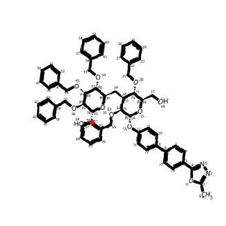 Cc1nnc(-c2ccc(-c3ccc(O[C@H]4O[C@H](CO)[C@@H](OCc5ccccc5)[C@H](C[C@H]5O[C@H](CO)[C@@H](OCc6ccccc6)[C@H](OCc6ccccc6)[C@@H]5OCc5ccccc5)[C@@H]4OCc4ccccc4)cc3)cc2)o1